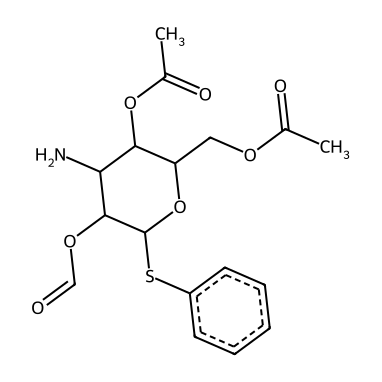 CC(=O)OCC1OC(Sc2ccccc2)C(OC=O)C(N)C1OC(C)=O